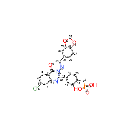 O=c1c2ccc(Cl)cc2nc(-c2ccc(CP(=O)(O)O)cc2)n1N=Cc1ccc2c(c1)OCO2